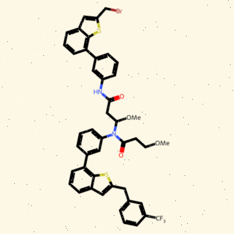 COCCC(=O)N(c1cccc(-c2cccc3cc(Cc4cccc(C(F)(F)F)c4)sc23)c1)C(CC(=O)Nc1cccc(-c2cccc3cc(CBr)sc23)c1)OC